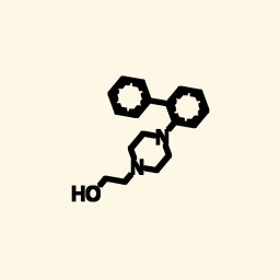 OCCN1CCN(c2ccccc2-c2ccccc2)CC1